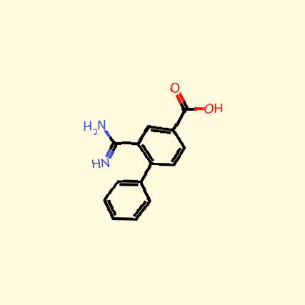 N=C(N)c1cc(C(=O)O)ccc1-c1ccccc1